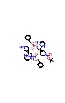 CC(C)(C)OC(=O)N1CCC2C(C1)C2(CNC(=O)OCc1ccccc1)c1ncccn1.O=C(NCC1(c2ncccn2)C2CCNCC21)OCc1ccccc1